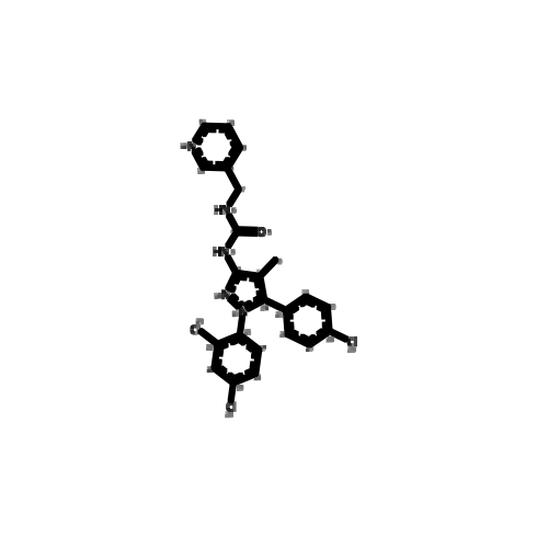 Cc1c(NC(=O)NCc2cccnc2)nn(-c2ccc(Cl)cc2Cl)c1-c1ccc(Cl)cc1